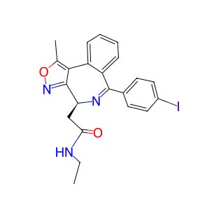 CCNC(=O)C[C@@H]1N=C(c2ccc(I)cc2)c2ccccc2-c2c1noc2C